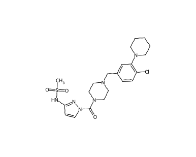 CS(=O)(=O)Nc1ccn(C(=O)N2CCN(Cc3ccc(Cl)c(N4CCCCC4)c3)CC2)n1